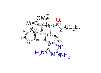 C#Cc1c(Cc2cnc(N)nc2N)c(-c2ccccc2)c(OC)c(OC)c1C(=O)CC(=O)OCC